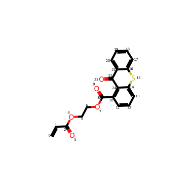 C=CC(=O)OCCOC(=O)c1cccc2sc3ccccc3c(=O)c12